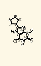 Cn1c(=O)c2[nH]c(C3CCCC3)nc2n(C)c1=S